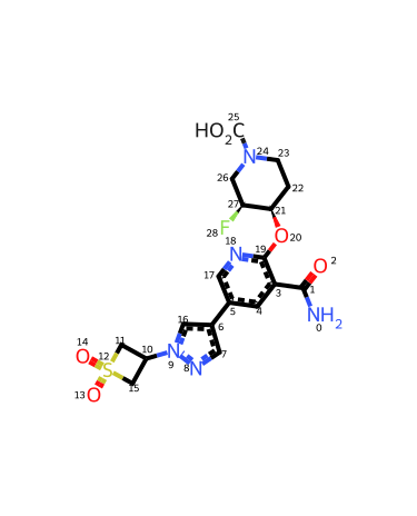 NC(=O)c1cc(-c2cnn(C3CS(=O)(=O)C3)c2)cnc1O[C@@H]1CCN(C(=O)O)C[C@@H]1F